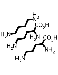 NCCCC(N)C(=O)O.NCCCC(N)C(=O)O.NCCCCN